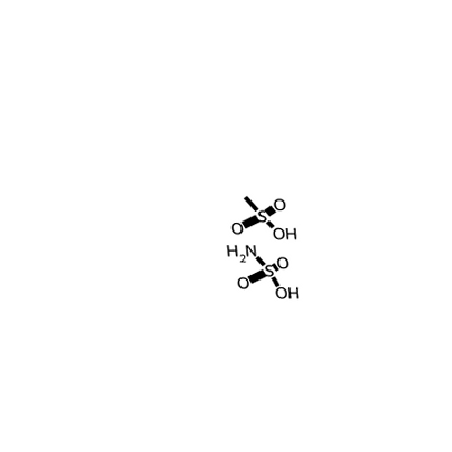 CS(=O)(=O)O.NS(=O)(=O)O